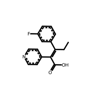 CC/C(=C(\C(=O)O)c1ccncc1)c1cccc(F)c1